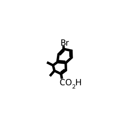 CC1C(C(=O)O)=Cc2ccc(Br)cc2C1C